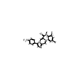 CN(C(=O)c1cn2c(-c3ccc(C(F)(F)F)cc3)cnc2cn1)c1ccc(F)cc1F